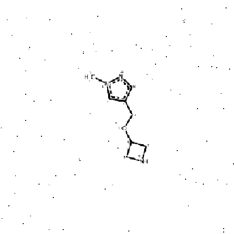 Cn1cc(COC2CNC2)cn1